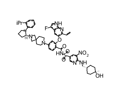 C=Cc1nc2[nH]cc(F)c2cc1Oc1cc(N2CCC3(CC2)CN([C@H]2CCC[C@H]2c2ccccc2C(C)C)C3)ccc1C(=O)NS(=O)(=O)c1cnc(NC[C@H]2CC[C@](C)(O)CC2)c([N+](=O)[O-])c1